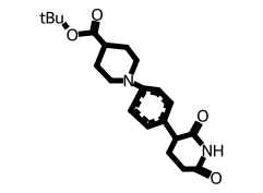 CC(C)(C)OC(=O)C1CCN(c2ccc(C3CCC(=O)NC3=O)cc2)CC1